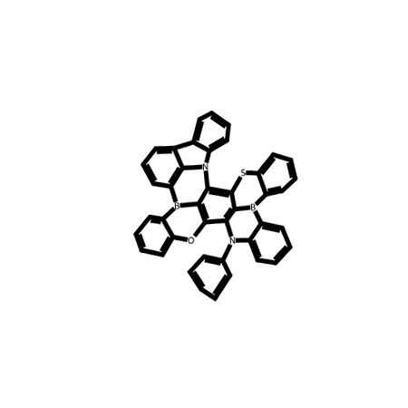 c1ccc(N2c3ccccc3B3c4ccccc4Sc4c3c2c2c3c4-n4c5ccccc5c5cccc(c54)B3c3ccccc3O2)cc1